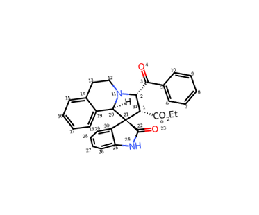 CCOC(=O)[C@H]1[C@@H](C(=O)c2ccccc2)N2CCc3ccccc3[C@@H]2[C@]12C(=O)Nc1ccccc12